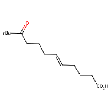 CCCCC(=O)CCCC=CCCCC(=O)O